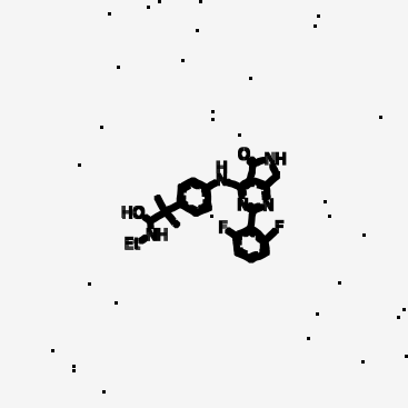 CCNC(O)C(C)(C)c1ccc(Nc2nc(-c3c(F)cccc3F)nc3c2C(=O)NC3)cc1